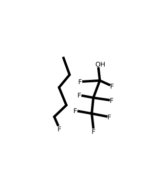 CCCCCF.OC(F)(F)C(F)(F)C(F)(F)F